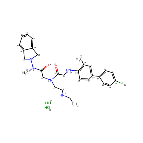 CCNCCN(CC(=O)N(C)N1Cc2ccccc2C1)C(=O)CNc1ccc(-c2ccc(F)cc2)cc1C.Cl.Cl